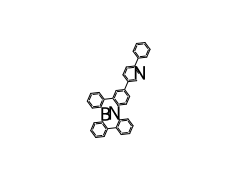 c1ccc(-c2ccc(-c3ccc4c(c3)-c3ccccc3B3c5ccccc5-c5ccccc5N34)cn2)cc1